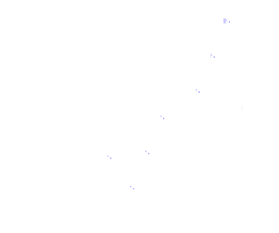 CNc1ccc(Cl)c(N2CCN(c3cc(-c4ccc(F)cc4)nc(N4CCCC4C)n3)C(C)C2)n1